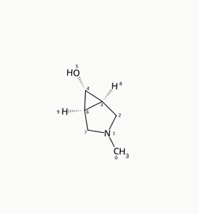 CN1C[C@@H]2[C@@H](O)[C@@H]2C1